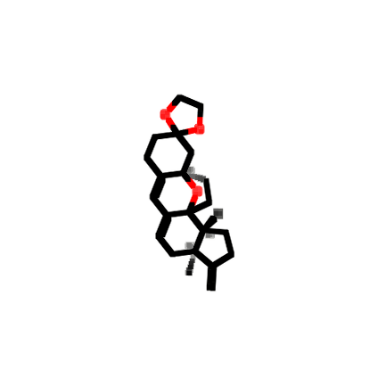 C=C1CC[C@H]2C34CC[C@]5(CC6(CCC5=CC3=CC[C@]12C)OCCO6)O4